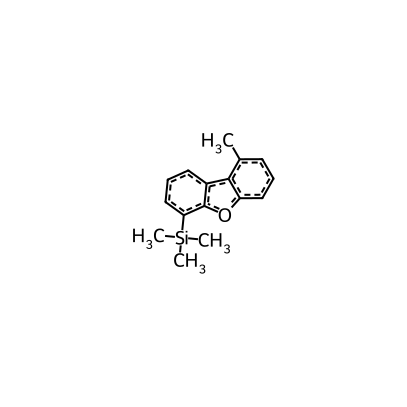 Cc1cccc2oc3c([Si](C)(C)C)cccc3c12